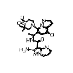 CC(NC(=O)c1c(N)nn2cccnc12)c1cc(Cl)c2ccnn2c1N1CCS(=O)(=O)C(C)(C)C1